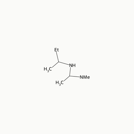 CCC(C)NC(C)NC